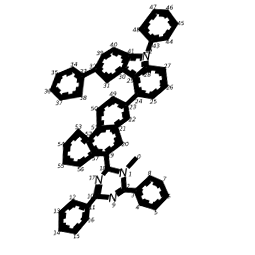 CN1C(c2ccccc2)=NC(c2ccccc2)=NC1c1cc2cc(-c3cccc4c3c3cc(-c5ccccc5)ccc3n4-c3ccccc3)ccc2c2ccccc12